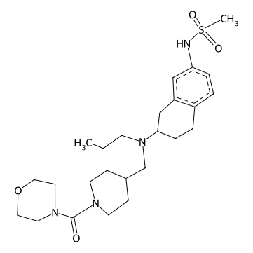 CCCN(CC1CCN(C(=O)N2CCOCC2)CC1)C1CCc2ccc(NS(C)(=O)=O)cc2C1